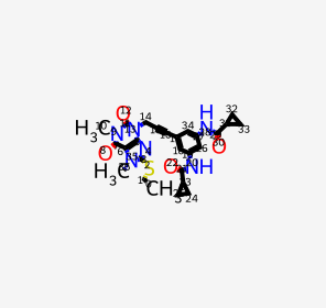 CCSc1nc2c(c(=O)n(C)c(=O)n2CC#Cc2cc(NC(=O)C3CC3)cc(NC(=O)C3CC3)c2)n1C